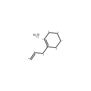 C=CCC1=CCCCC1.O